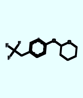 FC(F)(F)Cc1c[c]c(OC2CCCCO2)cc1